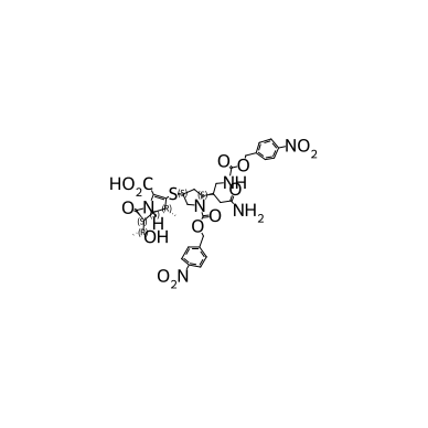 C[C@@H](O)[C@H]1C(=O)N2C(C(=O)O)=C(S[C@H]3C[C@@H](C(CNC(=O)OCc4ccc([N+](=O)[O-])cc4)CC(N)=O)N(C(=O)OCc4ccc([N+](=O)[O-])cc4)C3)[C@H](C)[C@H]12